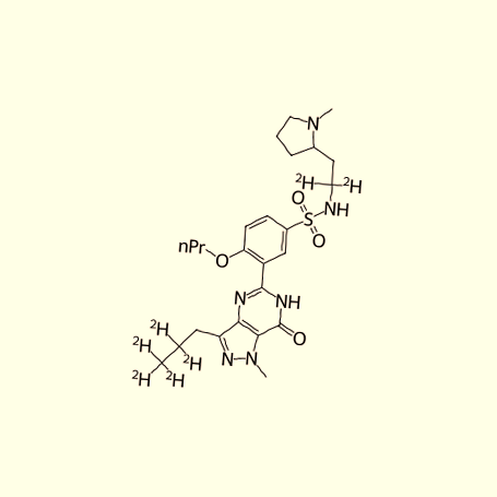 [2H]C([2H])(CC1CCCN1C)NS(=O)(=O)c1ccc(OCCC)c(-c2nc3c(CC([2H])([2H])C([2H])([2H])[2H])nn(C)c3c(=O)[nH]2)c1